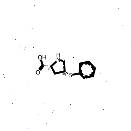 O=C(O)[C@H]1C[C@@H](Sc2ccccc2)CN1